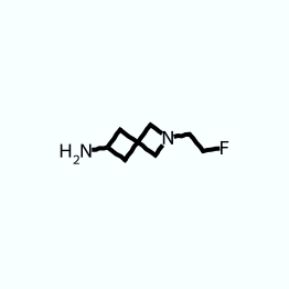 NC1CC2(C1)CN(CCF)C2